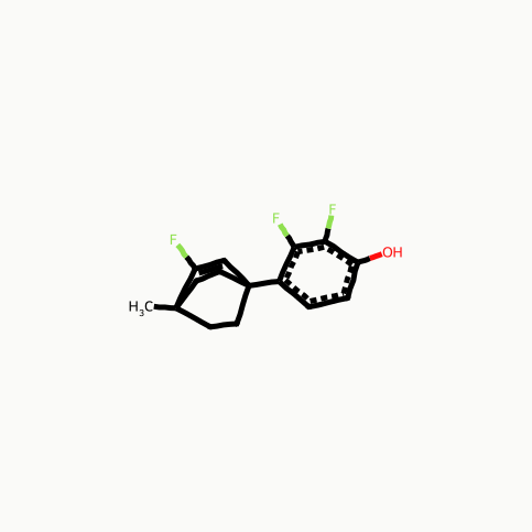 CC12CCC(c3ccc(O)c(F)c3F)(C=C1F)CC2